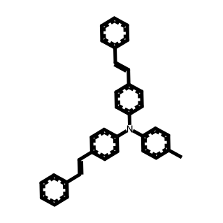 Cc1ccc(N(c2ccc(/C=C/c3ccccc3)cc2)c2ccc(/C=C/c3ccccc3)cc2)cc1